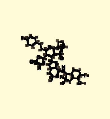 COc1c(F)ccc2c1CC(F)(F)[C@H]2Nc1nc(C)cc2cc(-c3c4c(nc(CCc5ccc(F)cc5)c3-c3n[nH]c(=O)o3)C35CC(CN3C4=O)C5)sc12